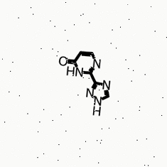 O=c1ccnc(-c2nc[nH]n2)[nH]1